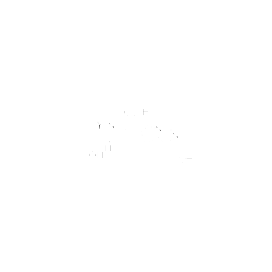 CC(O)c1ncn2cc(C3=C(C(=O)O)N4C(=O)[C@H]([C@@H](C)O)[C@H]4[C@H]3C)sc12